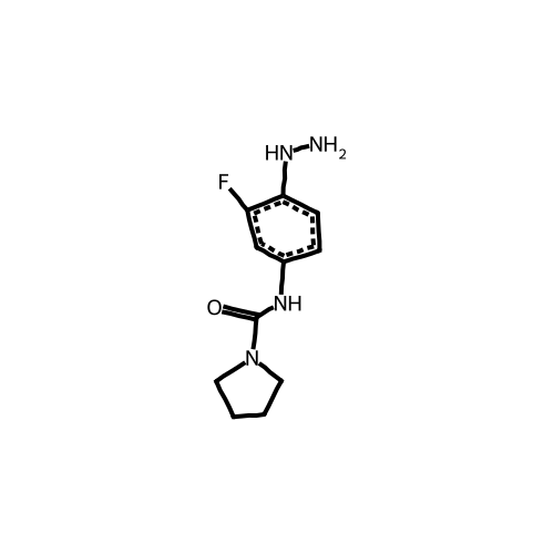 NNc1ccc(NC(=O)N2CCCC2)cc1F